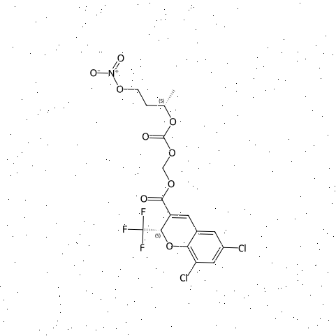 C[C@@H](CCO[N+](=O)[O-])OC(=O)OCOC(=O)C1=Cc2cc(Cl)cc(Cl)c2O[C@@H]1C(F)(F)F